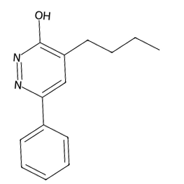 CCCCc1cc(-c2ccccc2)nnc1O